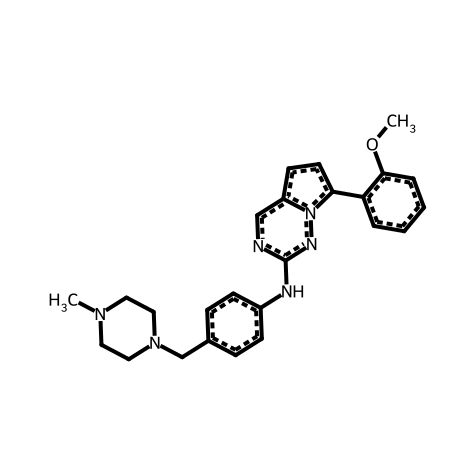 COc1ccccc1-c1ccc2cnc(Nc3ccc(CN4CCN(C)CC4)cc3)nn12